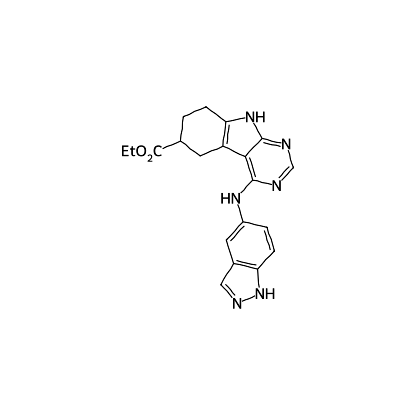 CCOC(=O)C1CCc2[nH]c3ncnc(Nc4ccc5[nH]ncc5c4)c3c2C1